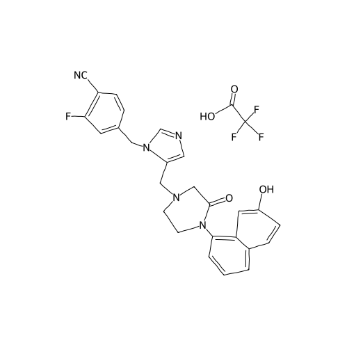 N#Cc1ccc(Cn2cncc2CN2CCN(c3cccc4ccc(O)cc34)C(=O)C2)cc1F.O=C(O)C(F)(F)F